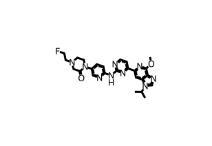 COc1nc(-c2ccnc(Nc3ccc(N4CCN(CCF)CC4=O)cn3)n2)cc2c1ncn2C(C)C